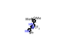 COc1ccc(C2CC(C(F)(F)F)n3nc(C4=CCNC(C(C)C)C4)cc3N2)cc1OC